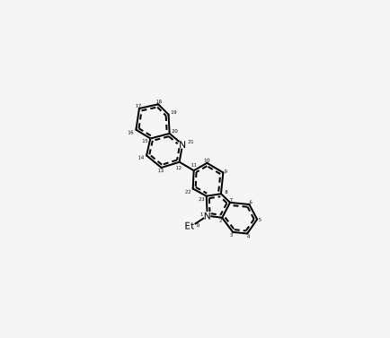 CCn1c2ccccc2c2ccc(-c3ccc4ccccc4n3)cc21